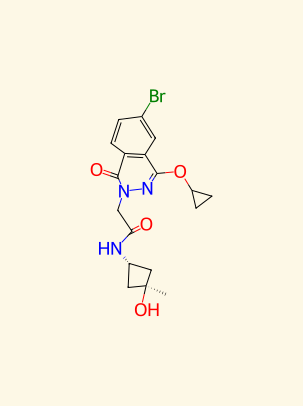 C[C@]1(O)C[C@H](NC(=O)Cn2nc(OC3CC3)c3cc(Br)ccc3c2=O)C1